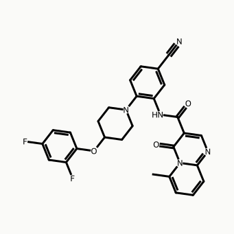 Cc1cccc2ncc(C(=O)Nc3cc(C#N)ccc3N3CCC(Oc4ccc(F)cc4F)CC3)c(=O)n12